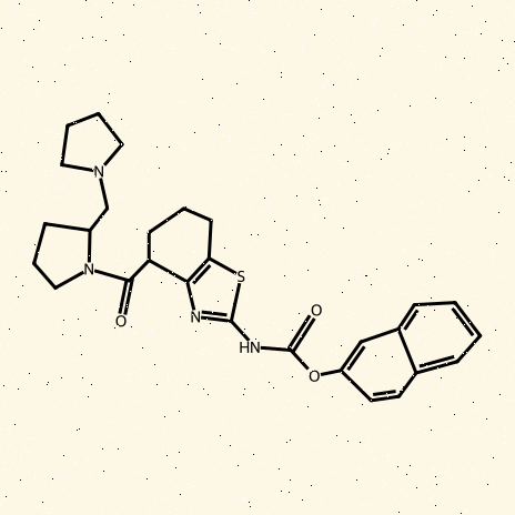 O=C(Nc1nc2c(s1)CCCC2C(=O)N1CCCC1CN1CCCC1)Oc1ccc2ccccc2c1